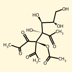 CC(=O)O[C@@](C(C)=O)(C(=O)C(C)=O)[C@](O)(C(C)=O)[C@@H](O)[C@H](O)CO